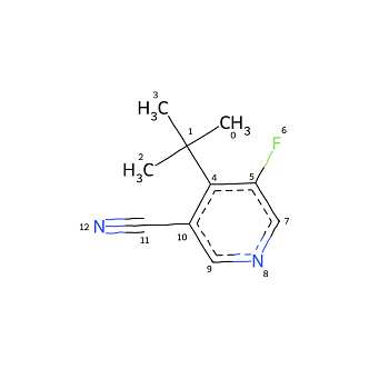 CC(C)(C)c1c(F)cncc1C#N